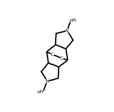 CCCN1CC2C3CCC(C2C1)C1CN(CCC)CC31